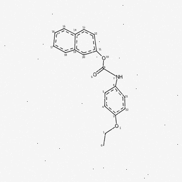 CCOc1ccc(NC(=O)Oc2ccc3ccccc3c2)cc1